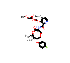 CCOCC(=O)OCOc1c(OC)ccnc1C(=O)N[C@H]1COC[C@H](Oc2ccc(F)cc2)[C@@H](OCC(C)C)[C@H](C)OC1=O